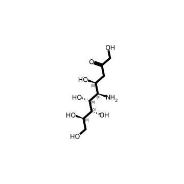 N[C@@H]([C@@H](O)[C@H](O)[C@H](O)CO)[C@@H](O)CC(=O)CO